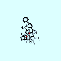 Cc1cc(C(=O)N2[C@@H]3CC[C@H]2C[C@@H](c2nc4c(-c5ccc(-c6ccccc6)nc5)cnn4c(N)c2S(C)(=O)=O)C3)[nH]n1